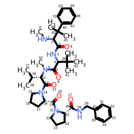 CN[C@H](C(=O)N[C@H](C(=O)N(C)[C@H](C(=O)N1CCC[C@H]1C(=O)N1CCC[C@H]1C(=O)NCc1ccccc1)C(C)C)C(C)(C)C)C(C)(C)c1ccccc1